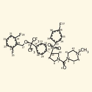 CN1CCN(C(=O)N2CC[C@@](c3ccc(C(OCc4c(F)cccc4F)(C(F)(F)F)C(F)(F)F)cc3)(S(=O)(=O)c3ccc(F)cc3)C2)CC1